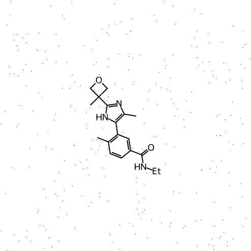 CCNC(=O)c1ccc(C)c(-c2[nH]c(C3(C)COC3)nc2C)c1